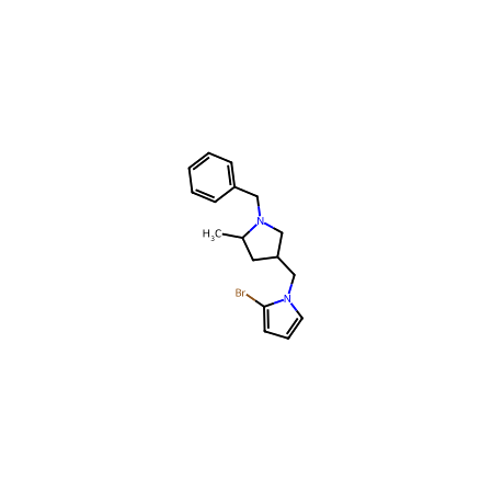 CC1CC(Cn2cccc2Br)CN1Cc1ccccc1